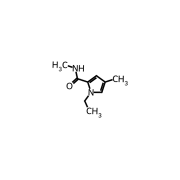 CCn1cc(C)cc1C(=O)NC